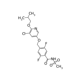 CC(C)COc1ncc(OCc2cc(F)c(C(=O)NS(C)(=O)=O)cc2F)cc1Cl